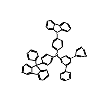 c1ccc(-c2cc(-c3ccccc3)cc(N(c3ccc(-n4c5ccccc5c5ccccc54)cc3)c3ccc(C4(c5ccccc5)c5ccccc5-c5ccccc54)cc3)c2)cc1